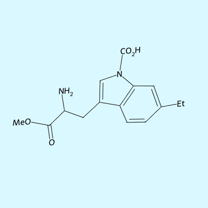 CCc1ccc2c(CC(N)C(=O)OC)cn(C(=O)O)c2c1